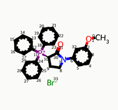 COc1cccc(N2CC[C@@H]([P+](c3ccccc3)(c3ccccc3)c3ccccc3)C2=O)c1.[Br-]